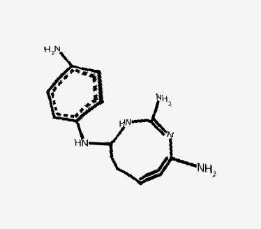 NC1=C=CCC(Nc2ccc(N)cc2)N/C(N)=N\1